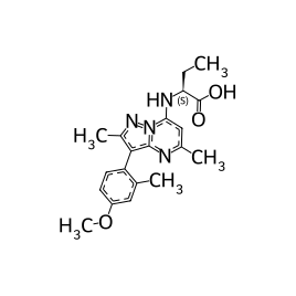 CC[C@H](Nc1cc(C)nc2c(-c3ccc(OC)cc3C)c(C)nn12)C(=O)O